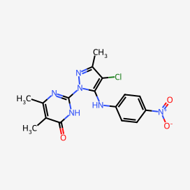 Cc1nn(-c2nc(C)c(C)c(=O)[nH]2)c(Nc2ccc([N+](=O)[O-])cc2)c1Cl